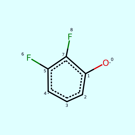 [O]c1cc[c]c(F)c1F